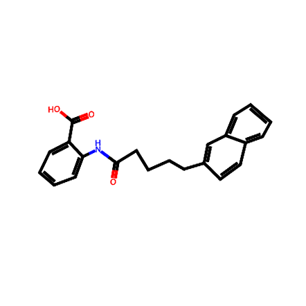 O=C(CCCCc1ccc2ccccc2c1)Nc1ccccc1C(=O)O